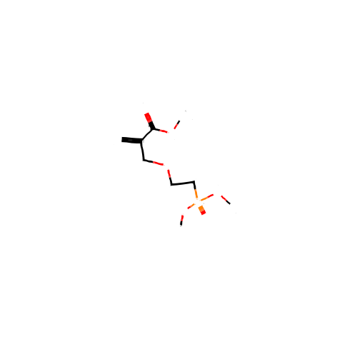 C=C(COCCP(=O)(OC)OC)C(=O)OC